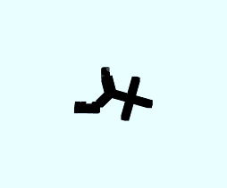 CSC(=S)C(C)(C)C